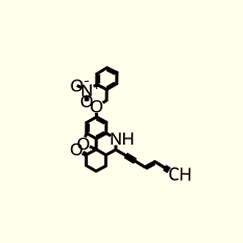 C#CC=CC#CC1Nc2cc(OCc3ccccc3[N+](=O)[O-])cc3c2C2(O3)C(=O)CCCC12